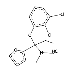 CCC(Oc1cccc(Cl)c1Cl)(c1ccco1)N(C)C.Cl